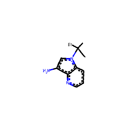 CCC(C)(C)n1cc(N)c2ncccc21